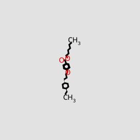 CCCCCCCOC(=O)c1ccc(OCCC[C@H]2CC[C@H](CCC)CC2)cc1